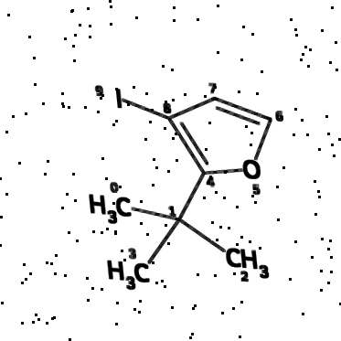 CC(C)(C)c1occc1I